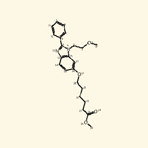 COCCn1c(-c2ccccc2)nc2ccc(OCCCCCC(=O)OC)cc21